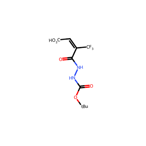 CC(C)(C)OC(=O)NNC(=O)/C(=C\C(=O)O)C(F)(F)F